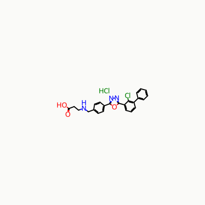 Cl.O=C(O)CCNCc1ccc(-c2nnc(-c3cccc(-c4ccccc4)c3Cl)o2)cc1